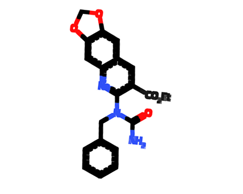 CCOC(=O)c1cc2cc3c(cc2nc1N(Cc1ccccc1)C(N)=O)OCO3